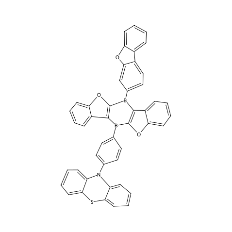 c1ccc2c(c1)Sc1ccccc1N2c1ccc(B2c3oc4ccccc4c3B(c3ccc4c(c3)oc3ccccc34)c3oc4ccccc4c32)cc1